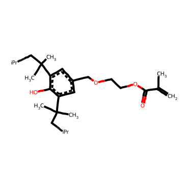 C=C(C)C(=O)OCCOCc1cc(C(C)(C)CC(C)C)c(O)c(C(C)(C)CC(C)C)c1